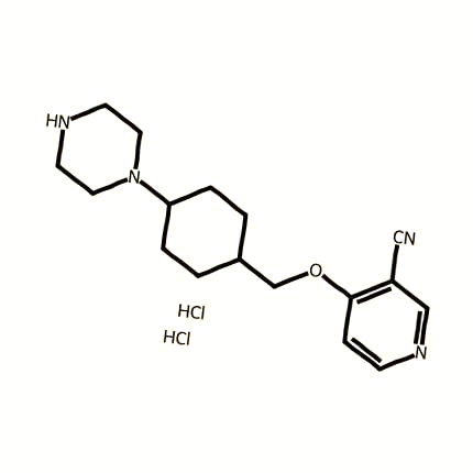 Cl.Cl.N#Cc1cnccc1OCC1CCC(N2CCNCC2)CC1